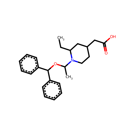 CCC1CC(CC(=O)O)CCN1C(C)OC(c1ccccc1)c1ccccc1